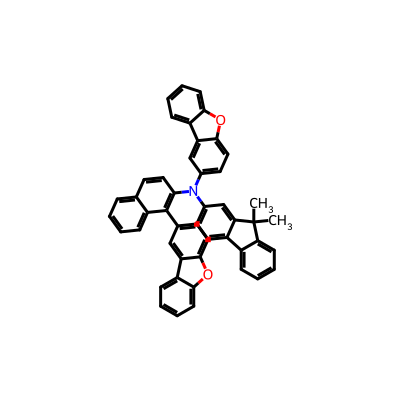 CC1(C)c2ccccc2-c2ccc(N(c3ccc4oc5ccccc5c4c3)c3ccc4ccccc4c3-c3ccc4oc5ccccc5c4c3)cc21